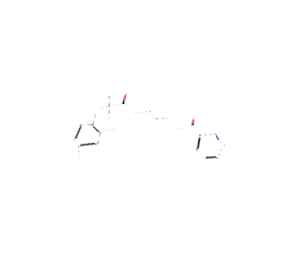 CC(C)(Oc1ccc(Cl)cc1F)C(=O)OCCCOC(=O)c1cccnc1